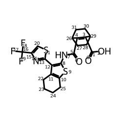 O=C(O)C1=C(C(=O)Nc2sc3c(c2-c2nc(C(F)(F)F)cs2)CCCC3)C2CCC1CC2